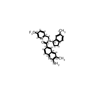 Cc1ccc2c(c1)[C@H](N(Cc1ccc(C(F)(F)F)cn1)C(=O)c1ccc3nc(N)c(C)cc3c1)CC2